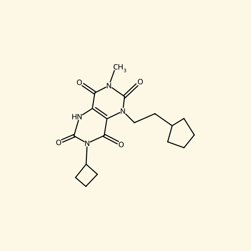 Cn1c(=O)c2[nH]c(=O)n(C3CCC3)c(=O)c2n(CCC2CCCC2)c1=O